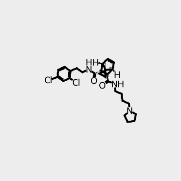 O=C(NCCCCN1CCCC1)[C@H]1[C@H](C(=O)NCCc2ccc(Cl)cc2Cl)[C@@H]2C=C[C@H]1C21CC1